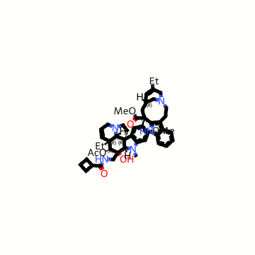 CCC1=C[C@@H]2CN(CCc3c([nH]c4ccccc34)[C@@](C(=O)OC)(c3cc4c(cc3OC)N(C)[C@H]3C(O)(CNC(=O)C5CCC5)[C@H](OC(C)=O)[C@]5(CC)C=CCN6CC[C@]43[C@@H]65)C2)C1